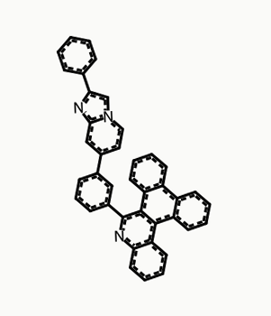 c1ccc(-c2cn3ccc(-c4cccc(-c5nc6ccccc6c6c7ccccc7c7ccccc7c56)c4)cc3n2)cc1